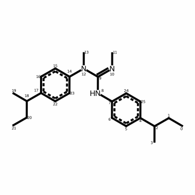 CCC(C)c1ccc(NC(=NC)N(C)c2ccc(C(C)CC)cc2)cc1